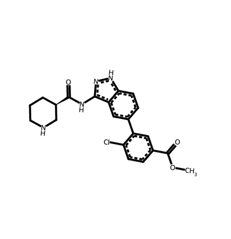 COC(=O)c1ccc(Cl)c(-c2ccc3[nH]nc(NC(=O)[C@@H]4CCCNC4)c3c2)c1